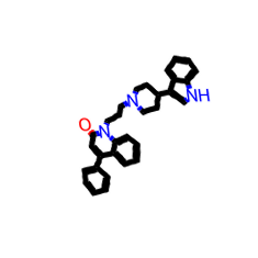 O=c1cc(-c2ccccc2)c2ccccc2n1CCCN1CCC(c2c[nH]c3ccccc23)CC1